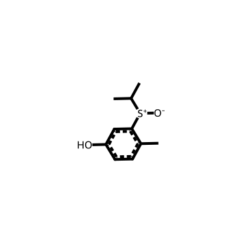 Cc1ccc(O)cc1[S+]([O-])C(C)C